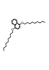 CCCCCCCCCOc1ccc(OCCCCCCCCC)c2ccccc12